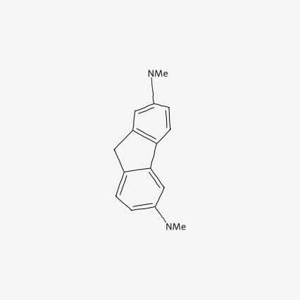 CNc1ccc2c(c1)Cc1ccc(NC)cc1-2